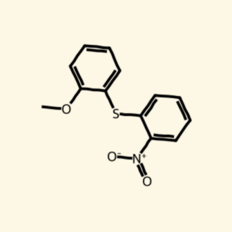 COc1ccccc1Sc1ccccc1[N+](=O)[O-]